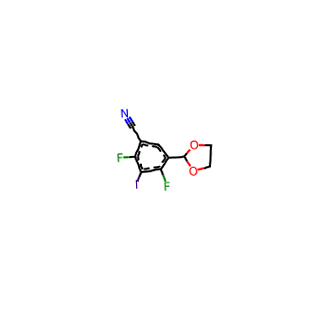 N#Cc1cc(C2OCCO2)c(F)c(I)c1F